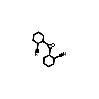 N#CC1CCCCC1C1OC1C1CCCCC1C#N